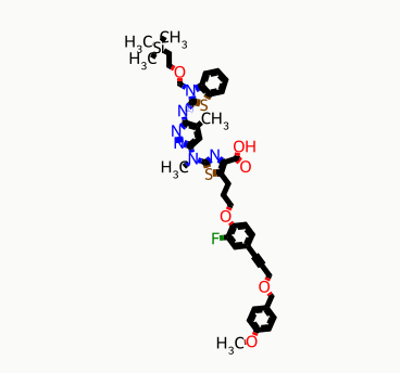 COc1ccc(COCC#Cc2ccc(OCCCc3sc(N(C)c4cc(C)c(/N=c5\sc6ccccc6n5COCC[Si](C)(C)C)nn4)nc3C(=O)O)c(F)c2)cc1